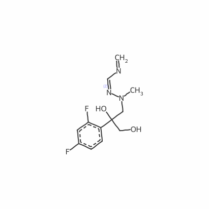 C=N/C=N\N(C)CC(O)(CO)c1ccc(F)cc1F